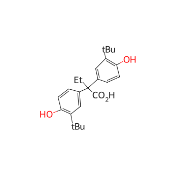 CCC(C(=O)O)(c1ccc(O)c(C(C)(C)C)c1)c1ccc(O)c(C(C)(C)C)c1